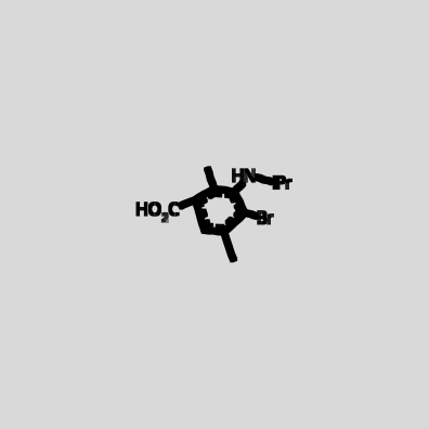 Cc1cc(C(=O)O)c(C)c(NC(C)C)c1Br